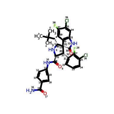 CC(C)(C)C[C@H]1N[C@H](C(=O)Nc2ccc(C(N)=O)cc2)[C@@H](c2cccc(Cl)c2F)[C@@]12C(=O)Nc1cc(Cl)c(F)cc12